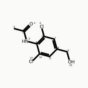 CC(=O)Nc1c(Cl)cc(CO)cc1Cl